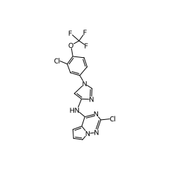 FC(F)(F)Oc1ccc(-n2cnc(Nc3nc(Cl)nn4cccc34)c2)cc1Cl